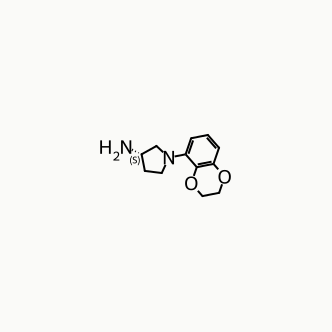 N[C@H]1CCN(c2cccc3c2OCCO3)C1